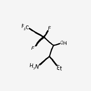 CCC(N)C(O)C(F)(F)C(F)(F)F